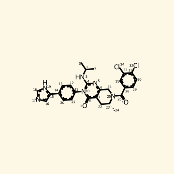 CC(C)Nc1nc2c(c(=O)n1-c1ccc(-c3cnc[nH]3)cc1)C[C@@H](C)N(C(=O)c1ccc(Cl)c(Cl)c1)C2